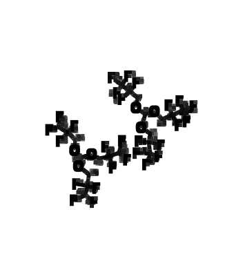 FC(F)(F)C(F)(F)COC(OCC(F)(F)C(F)(F)F)OCC(F)(F)C(F)(F)F.FC(F)C(F)(F)COC(OCC(F)(F)C(F)F)OCC(F)(F)C(F)F